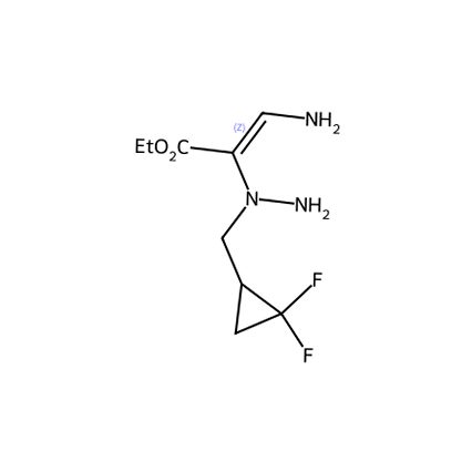 CCOC(=O)/C(=C/N)N(N)CC1CC1(F)F